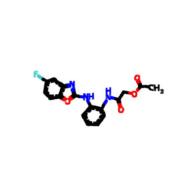 CC(=O)OCC(=O)Nc1ccccc1Nc1nc2cc(F)ccc2o1